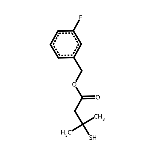 CC(C)(S)CC(=O)OCc1cccc(F)c1